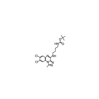 Cc1nnc2c(NCCCCNC(=O)OC(C)(C)C)nc3cc(Cl)c(Cl)cc3n12